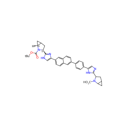 CC(C)(C)OC(=O)N1[C@@H]2CC2C[C@H]1c1nc(-c2ccc3cc(-c4ccc(-c5cnc(C6CC7CC7N6C(=O)O)[nH]5)cc4)ccc3c2)c[nH]1